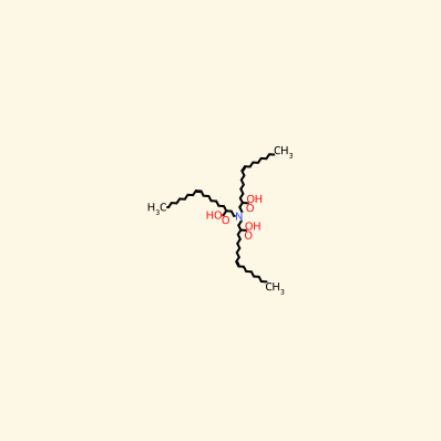 CCCCCCCC/C=C\CCCCCCC(CCN(CCC(CCCCCC/C=C\CCCCCCCC)C(=O)O)CCC(CCCCCC/C=C\CCCCCCCC)C(=O)O)C(=O)O